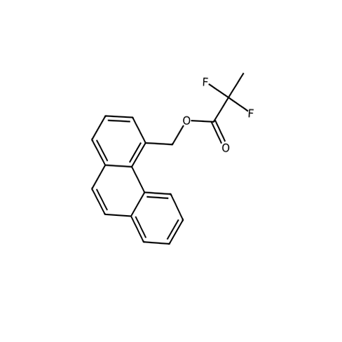 CC(F)(F)C(=O)OCc1cccc2ccc3ccccc3c12